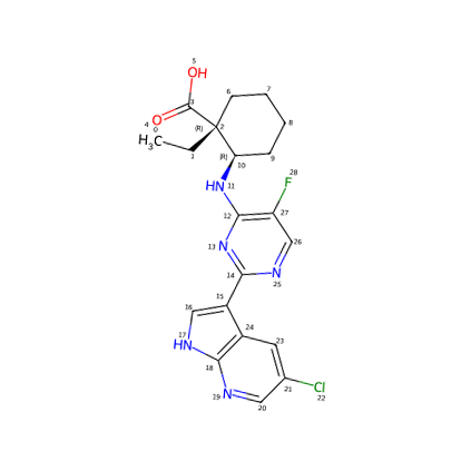 CC[C@@]1(C(=O)O)CCCC[C@H]1Nc1nc(-c2c[nH]c3ncc(Cl)cc23)ncc1F